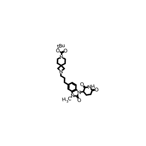 Cn1c(=O)n(C2CCC(=O)NC2=O)c2ccc(CCCN3CC4(CCN(C(=O)OC(C)(C)C)CC4)C3)cc21